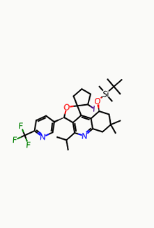 CC(C)c1nc2c(c3c1[C@@H](c1ccc(C(F)(F)F)nc1)OC31CCCC1I)[C@@H](O[Si](C)(C)C(C)(C)C)CC(C)(C)C2